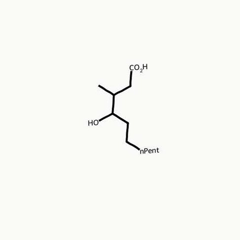 CCCCCCCC(O)C(C)CC(=O)O